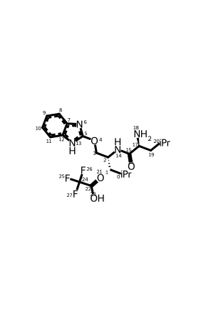 CC(C)C[C@H](COc1nc2ccccc2[nH]1)NC(=O)[C@@H](N)CC(C)C.O=C(O)C(F)(F)F